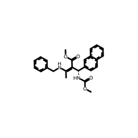 COC(=O)N[C@H](/C(C(=O)OC)=C(\C)NCc1ccccc1)c1ccc2ccccc2c1